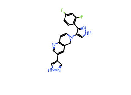 Fc1ccc(-c2n[nH]cc2N2C=Cc3ncc(-c4cn[nH]c4)cc3C2)c(F)c1